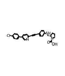 O=C(O)N1CCC[C@H]1CNc1ccc(C#Cc2ccc(-c3ccc(Cl)cc3)cn2)cc1